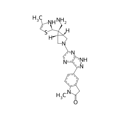 CC1=CS[C@H]([C@]2(CN)[C@@H]3CN(c4cnc5c(-c6ccc7c(c6)CC(=O)N7C)n[nH]c5n4)C[C@@H]32)N1